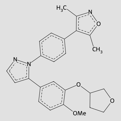 COc1ccc(-c2ccnn2-c2ccc(-c3c(C)noc3C)cc2)cc1OC1CCOC1